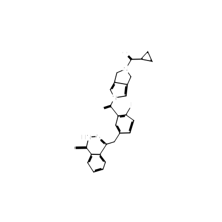 O=C(C1CC1)N1Cc2cn(C(=O)c3cc(Cc4n[nH]c(=O)c5ccccc45)ccc3F)cc2C1